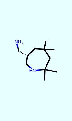 CC1(C)C[C@@H](CN)CNC(C)(C)C1